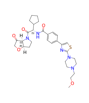 COCCN1CCN(c2nc(-c3ccc(C(=O)N[C@H](C(=O)N4CC[C@H]5OCC(=O)[C@H]54)C4CCCC4)cc3)cs2)CC1